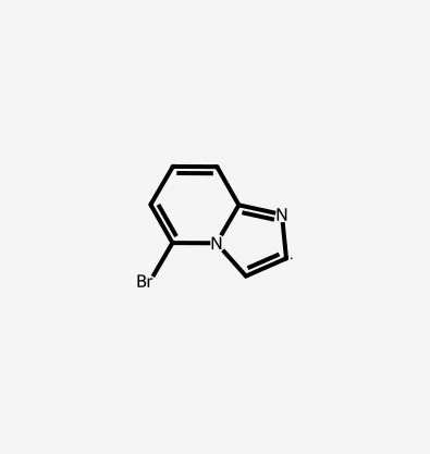 Brc1cccc2n[c]cn12